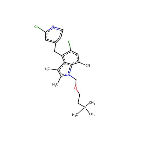 Cc1c(C)n(COCC[Si](C)(C)C)c2c(C#N)cc(F)c(Cc3ccnc(Cl)c3)c12